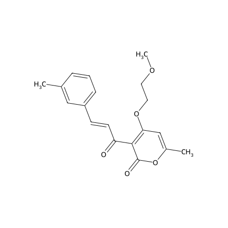 COCCOc1cc(C)oc(=O)c1C(=O)C=Cc1cccc(C)c1